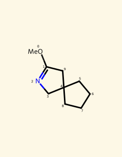 COC1=NCC2(CCCC2)C1